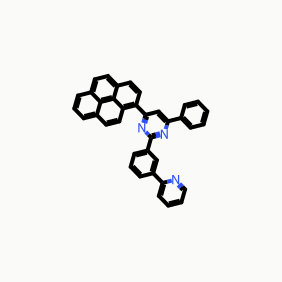 c1ccc(-c2cc(-c3ccc4ccc5cccc6ccc3c4c56)nc(-c3cccc(-c4ccccn4)c3)n2)cc1